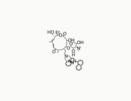 CC[C@H]1OC(=O)C[C@@H](O)[C@H](C)[C@@H](O[C@@H]2O[C@H](C)C(O)C(N(C)C)C2O)[C@@H](CCN(Cc2ccccc2)Cc2cn(-c3cccc4ccccc34)nn2)C[C@@H](C)C(=O)/C=C/C(C)=C/[C@@H]1CO